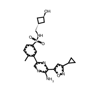 Cc1ccc(S(=O)(=O)NC[C@H]2C[C@H](O)C2)cc1-c1cnc(N)c(-c2cc(C3CC3)no2)n1